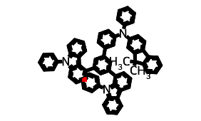 CC1(C)c2ccccc2-c2ccc(N(c3ccccc3)c3cccc(-c4cc(-c5cccc6c5c5ccccc5n6-c5ccccc5)cc(-c5cccc6c7ccccc7n(-c7ccccc7)c56)c4)c3)cc21